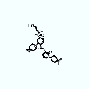 O=C(Nc1cccn(C2CCC(F)(F)CC2)c1=O)c1ccc(S(=O)(=O)NCCO)cc1N1CCC2(CC1)CC2